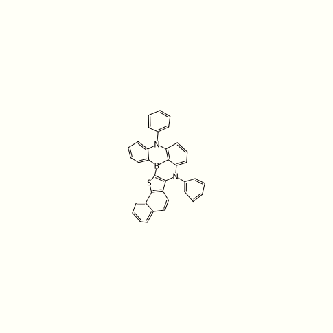 c1ccc(N2c3ccccc3B3c4sc5c(ccc6ccccc65)c4N(c4ccccc4)c4cccc2c43)cc1